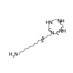 NCCCCCCCCCCSSCCCN1CCCNCCNCCCNCC1